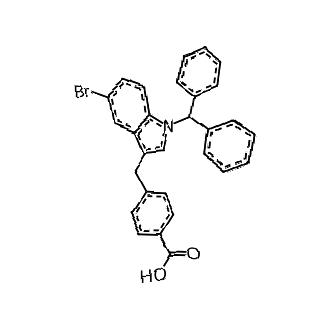 O=C(O)c1ccc(Cc2cn(C(c3ccccc3)c3ccccc3)c3ccc(Br)cc23)cc1